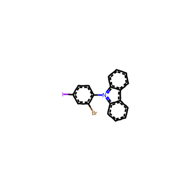 Brc1cc(I)ccc1-n1c2ccccc2c2ccccc21